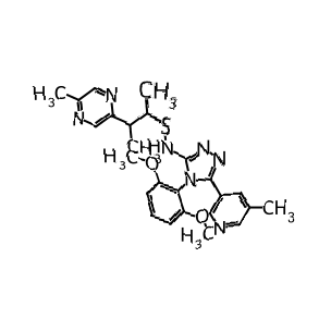 COc1cccc(OC)c1-n1c(NSC(C)C(C)c2cnc(C)cn2)nnc1-c1cncc(C)c1